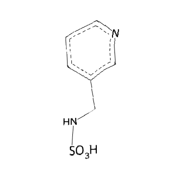 O=S(=O)(O)NCc1cccnc1